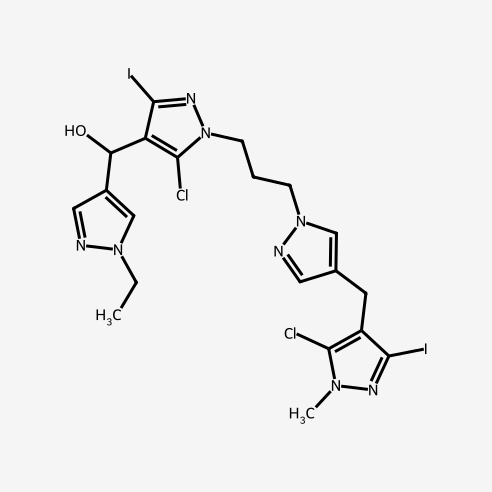 CCn1cc(C(O)c2c(I)nn(CCCn3cc(Cc4c(I)nn(C)c4Cl)cn3)c2Cl)cn1